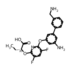 CC[C@@H](Oc1nc(Oc2cc(N)cc(-c3cccc(CN)c3)c2)c(F)cc1F)C(=O)O